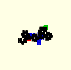 CCc1ccccc1NC(=O)c1ccc(Nc2nc(-c3ccccc3)c3cc(Cl)ccc3n2)cc1